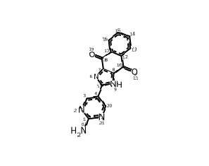 Nc1ncc(-c2nc3c([nH]2)C(=O)c2ccccc2C3=O)cn1